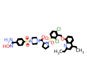 CCc1cc(CC)c2cccc(OCc3c(Cl)ccc(S(=O)(=O)N4CCC[C@H]4C(=O)N4CCN(S(=O)(=O)c5ccc(C(N)=NO)cc5)CC4)c3Cl)c2n1